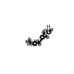 O=C1CCC(N2C(=O)c3ccc(CNC(=O)c4ccc(OC(F)(F)C(F)F)cc4)cc3C2=O)C(=O)N1